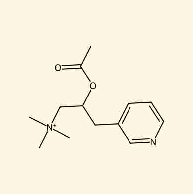 CC(=O)OC(Cc1cccnc1)C[N+](C)(C)C